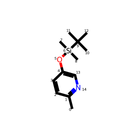 Cc1ccc(O[Si](C)(C)C(C)(C)C)cn1